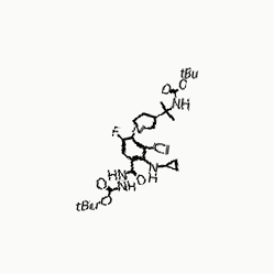 CC(C)(C)OC(=O)NNC(=O)c1cc(F)c(N2CC[C@@H](C(C)(C)NC(=O)OC(C)(C)C)C2)c(Cl)c1NC1CC1